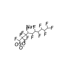 O=S(=O)([O-])C(F)C(F)(F)C(F)(F)C(F)C(F)C(F)C(F)C(F)C(F)C(F)F.[Na+]